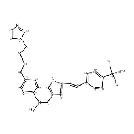 CN(Cc1coc(C=Cc2ccc(C(F)(F)F)cc2)n1)c1ccc(CCCCn2ccnn2)cc1